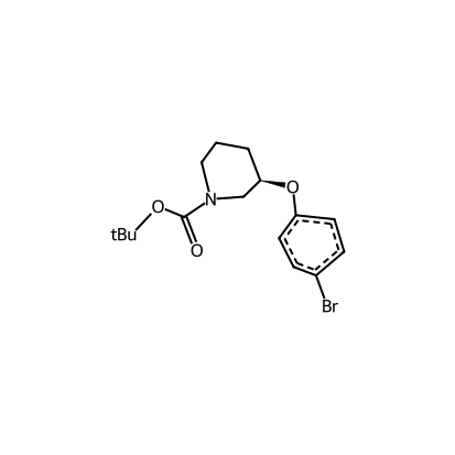 CC(C)(C)OC(=O)N1CCC[C@@H](Oc2ccc(Br)cc2)C1